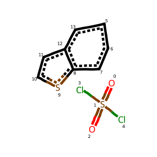 O=S(=O)(Cl)Cl.c1ccc2sccc2c1